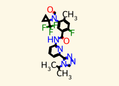 Cc1cc(F)c(C(=O)Nc2cccc(-c3nncn3C(C)C)n2)cc1N(C=O)C1(C(F)(F)F)CC1